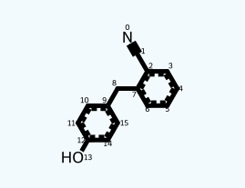 N#Cc1ccccc1Cc1ccc(O)cc1